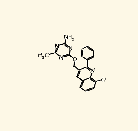 Cc1nc(N)nc(OCc2cc3cccc(Cl)c3nc2-c2ccccc2)n1